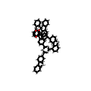 c1ccc(-c2ccc(-c3nc(-c4ccc5c(c4)sc4ccccc45)nc(-c4cccc5oc6ccc(-c7ccc(-c8cccc9c8C8(c%10ccccc%10-c%10ccccc%108)c8ccccc8-9)cc7)cc6c45)n3)cc2)cc1